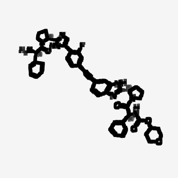 N[C@@H](C(=O)N1CCC[C@H]1c1ncc(-c2ccc(C#Cc3ccc4nc([C@@H]5CCCN5C(=O)[C@H](NC(=O)OC5CCOCC5)c5ccccc5)[nH]c4c3)cc2F)[nH]1)c1ccccc1